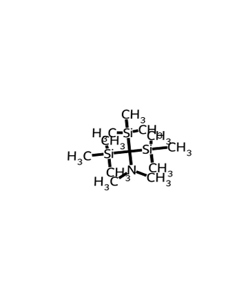 CN(C)C([Si](C)(C)C)([Si](C)(C)C)[Si](C)(C)C